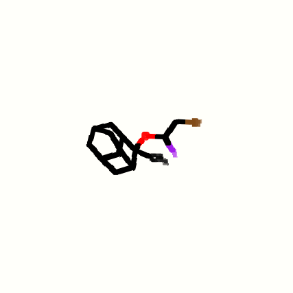 CC1(OC(I)CBr)C2CC3CC(C2)CC1C3